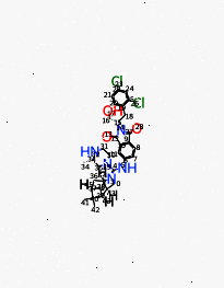 C[C@@H]1[C@@H](/N=C(/Nc2ccc3c(c2)C(=O)N([C@H](CO)Cc2ccc(Cl)cc2Cl)C3=O)N2CCN[C@@H](C)C2)C[C@H]2C[C@@H]1C2(C)C